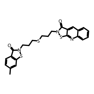 Cc1ccc2c(=O)n(CCCSCCCn3sc4nc5ccccc5cc4c3=O)sc2c1